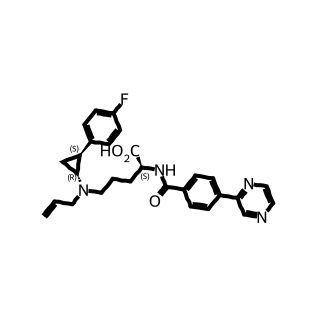 C=CCN(CCC[C@H](NC(=O)c1ccc(-c2cnccn2)cc1)C(=O)O)[C@@H]1C[C@H]1c1ccc(F)cc1